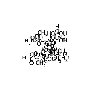 CC[C@@H](C)C(C(CC(=O)N1CCC[C@H]1[C@H](OC)[C@@H](C)C(=O)N[C@H](C)[C@@H](O)c1ccccc1)OC)N(C)C(=O)[C@@H](NC(=O)C(C(C)C)N(C)C(=O)OCc1ccc(OC2OC(C(=O)O)C(O)[C@H](O)[C@@H]2O)c(NC(=O)CCNC(=O)[C@H](CN)N2C(=O)CC(C)C2=O)c1)C(C)C